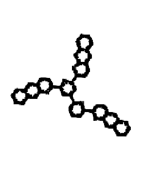 c1cc(-c2cc(-c3ccc4cc5ccccc5cc4n3)nc(-c3ccc4cc5ccccc5cc4n3)c2)nc(-c2ccc3cc4ccccc4cc3n2)c1